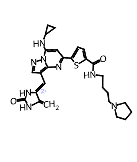 C=c1[nH]c(=O)[nH]/c1=C\c1cnn2c(NC3CC3)cc(-c3ccc(C(=O)NCCCCN4CCCC4)s3)nc12